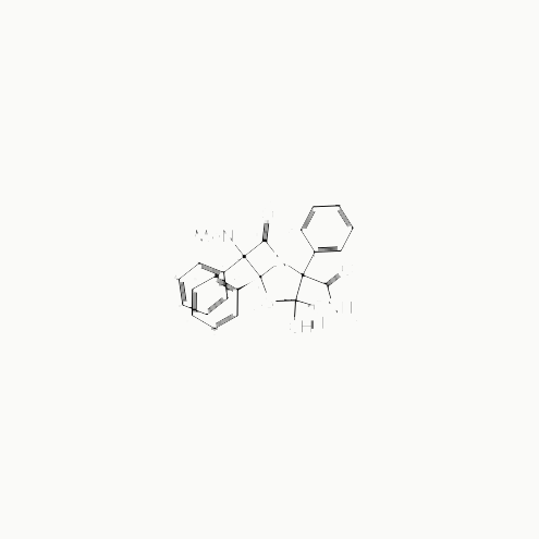 CNC1(c2ccccc2)C(=O)N2C(C(N)=O)(c3ccccc3)C(C)(C)S[C@@]21c1ccccc1